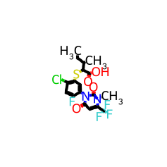 CCC(C)C(Sc1cc(-n2c(=O)cc(C(F)(F)F)n(C)c2=O)c(F)cc1Cl)C(=O)O